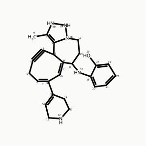 CC1=C2C3C#CC/C=C(C4=CCNCC4)\C=C/3C(Nc3ccccc3O)CCN2NN1